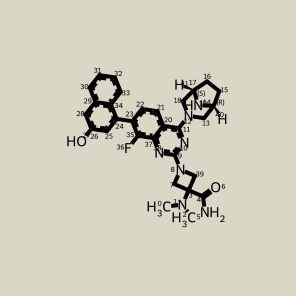 CN(C)C1(C(N)=O)CN(c2nc(N3C[C@H]4CC[C@@H](C3)N4)c3ccc(-c4cc(O)cc5ccccc45)c(F)c3n2)C1